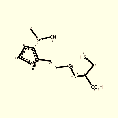 C[Se]C#N.C[Se]NC(CS)C(=O)O.Cc1ccc[se]1